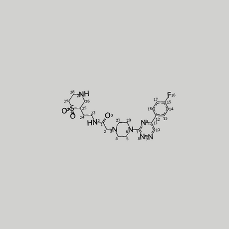 O=C(CN1CCN(c2nncc(-c3ccc(F)cc3)n2)CC1)NCCC1CNCCS1(=O)=O